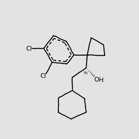 O[C@H](CC1CCCCC1)C1(c2ccc(Cl)c(Cl)c2)CCC1